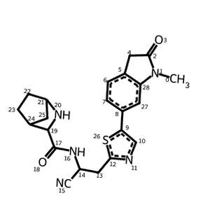 CN1C(=O)Cc2ccc(-c3cnc(CC(C#N)NC(=O)C4NC5CCC4C5)s3)cc21